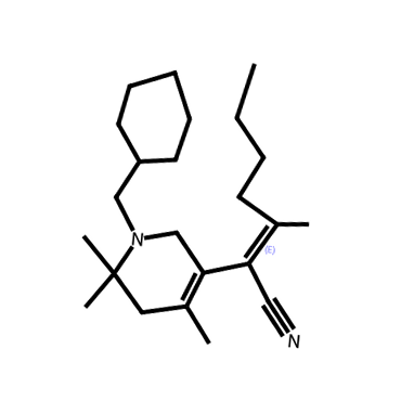 CCCC/C(C)=C(/C#N)C1=C(C)CC(C)(C)N(CC2CCCCC2)C1